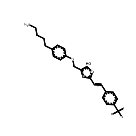 Cl.NCCCCc1ccc(OCc2coc(/C=C/c3ccc(C(F)(F)F)cc3)n2)cc1